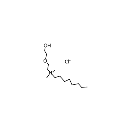 CCCCCCCC[N+](C)(C)CCOCCO.[Cl-]